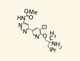 COC(=O)Nc1cc(-c2cnc(OC[C@@](C)(N)CC(C)C)c(Cl)c2)ncn1